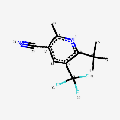 Cc1nc(C(C)(C)C)c(C(F)(F)F)cc1C#N